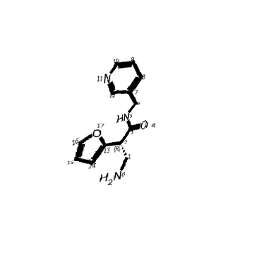 NC[C@@H](C(=O)NCc1cccnc1)c1ccco1